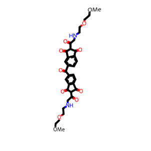 COCCOCCNCC(=O)C1C(=O)c2ccc(C(=O)c3ccc4c(c3)C(=O)C(C(=O)CNCCOCCOC)C4=O)cc2C1=O